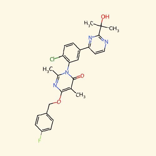 Cc1c(OCc2ccc(F)cc2)nc(C)n(-c2cc(-c3ccnc(C(C)(C)O)n3)ccc2Cl)c1=O